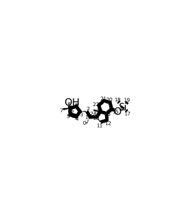 C[C@H](C[C@@H]1C=C[C@](C)(O)C1)[C@H]1CCC2C(O[Si](C)(C)C)CCC[C@]21C